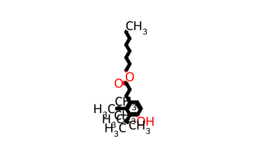 CCCCCCCCOC(=O)CCc1ccc(O)c(C(C)(C)C)c1C(C)(C)C